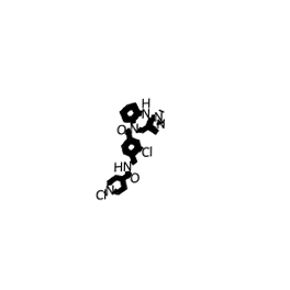 Cn1ncc2c1Nc1ccccc1N(C(=O)c1ccc(CNC(=O)C3CCN(Cl)CC3)c(Cl)c1)C2